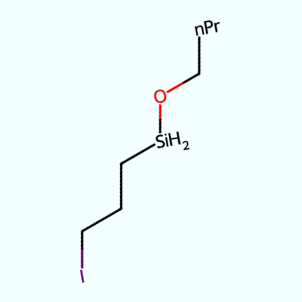 CCCCO[SiH2]CCCI